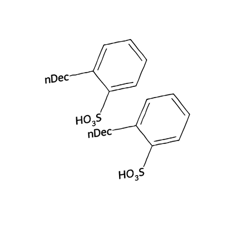 CCCCCCCCCCc1ccccc1S(=O)(=O)O.CCCCCCCCCCc1ccccc1S(=O)(=O)O